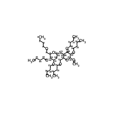 CCCCOCC1O[C@@H](S[C@@H]2C(COCCCC)O[C@H](OC)C(OCCCC)[C@H]2OCCCC)CC(OCCCC)[C@@H]1OCCCC